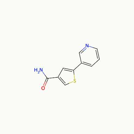 NC(=O)c1csc(-c2cccnc2)c1